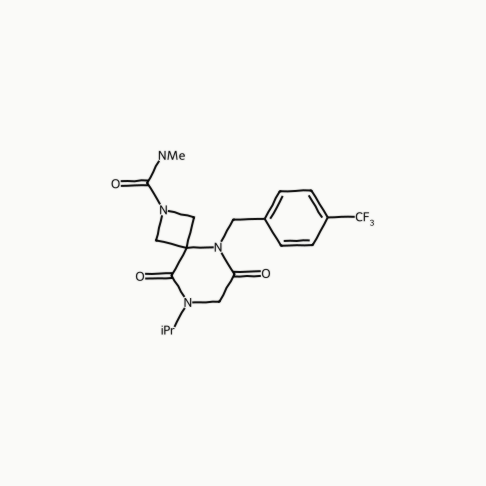 CNC(=O)N1CC2(C1)C(=O)N(C(C)C)CC(=O)N2Cc1ccc(C(F)(F)F)cc1